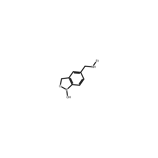 CCNCc1ccc2c(c1)COB2O